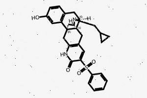 O=c1[nH]c2c(cc1S(=O)(=O)c1ccccc1)C[C@@H]1[C@@H]3Cc4ccc(O)cc4[C@]1(CCN3CC1CC1)C2